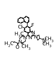 C=CC(=O)N1C[C@H](C)N(c2nc(N3CC(N(C)C)C3)nc3c(F)c(-c4cccc5ccccc45)c(Cl)cc23)C[C@H]1C